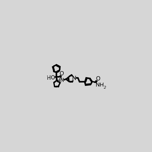 NC(=O)c1ccc(CCN2CC3C(C2)C3NC(=O)C(O)(c2ccccc2)C2CCCC2)cc1